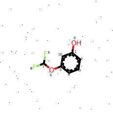 Oc1c[c]cc(OC(F)F)c1